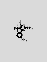 Nc1cccc(-c2nc(N)nc(N)c2C(F)(F)F)c1